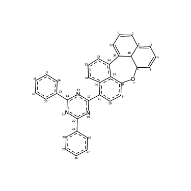 C1=CC2=CC=CC3Oc4ccc(-c5nc(-c6ccccc6)nc(-c6ccccc6)n5)c5cccc(c45)C(=C1)C23